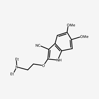 CCN(CC)CCOc1[nH]c2cc(OC)c(OC)cc2c1C#N